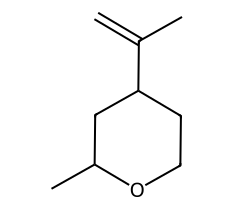 C=C(C)C1CCOC(C)C1